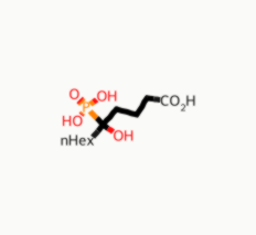 CCCCCCC(O)(CCCC(=O)O)P(=O)(O)O